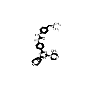 C[C@@H]1COCCN1c1nc(-c2ccc(NC(=O)Nc3ccc(CN(C)C)cc3)cc2)nc(N2C3CCC2COC3)n1